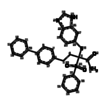 NC(=O)C(CCc1ccc(-c2ccccc2)cc1)(Sc1ccc2nc[nH]c2c1)S(=O)(=O)c1ccccc1